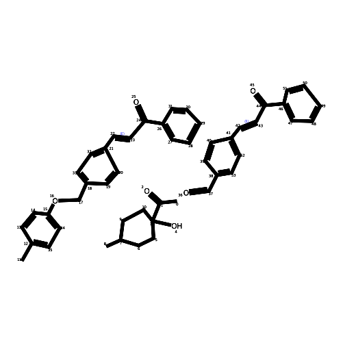 CC(=O)C1(O)CCC(C)CC1.Cc1ccc(OCc2ccc(/C=C/C(=O)c3ccccc3)cc2)cc1.O=Cc1ccc(/C=C/C(=O)c2ccccc2)cc1